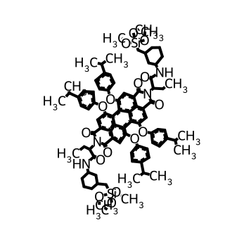 CCC(C(=O)NC1CCCC(C[Si](OC)(OC)OC)C1)N1C(=O)c2cc(Oc3ccc(C(C)C)cc3)c3c4c(Oc5ccc(C(C)C)cc5)cc5c6c(cc(Oc7ccc(C(C)C)cc7)c(c7c(Oc8ccc(C(C)C)cc8)cc(c2c37)C1=O)c64)C(=O)N(C(CC)C(=O)NC1CCCC(C[Si](OC)(OC)OC)C1)C5=O